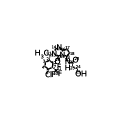 CC(c1ccc(Cl)c(C(F)(F)F)c1)n1cnc2ccc(NC(=O)CCO)n2c1=O